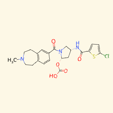 CN1CCc2ccc(C(=O)N3C[C@H](NC(=O)c4ccc(Cl)s4)C[C@@H]3OC(=O)O)cc2CC1